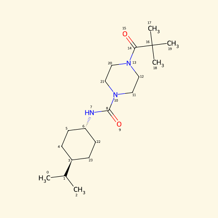 CC(C)[C@H]1CC[C@H](NC(=O)N2CCN(C(=O)C(C)(C)C)CC2)CC1